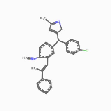 C=Nc1ccc(C(C2=CC(C)=NC2)c2ccc(Cl)cc2)cc1/C=C(\C)c1ccccc1